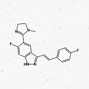 CN1CCN=C1c1cc2c(/C=C/c3ccc(F)cc3)n[nH]c2cc1F